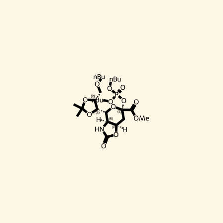 CCCCOC[C@H]1OC(C)(C)O[C@H]1C1O[C@@](OP(=O)(OCCCC)OCCCC)(C(=O)OC)C[C@H]2OC(=O)N[C@@H]12